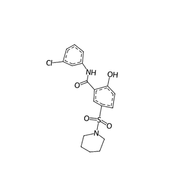 O=C(Nc1cccc(Cl)c1)c1cc(S(=O)(=O)N2CCCCC2)ccc1O